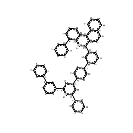 c1ccc(-c2cccc(-c3nc(-c4ccccc4)cc(-c4ccc(-c5cccc(-c6nc7c(-c8ccccc8)cccc7c7c6ccc6ccccc67)c5)cc4)n3)c2)cc1